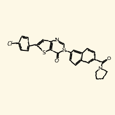 O=C(c1ccc2cc(-n3cnc4cc(-c5ccc(Cl)cc5)sc4c3=O)ccc2c1)N1CCCC1